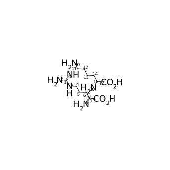 N=C(N)NCCC[C@H](N)C(=O)O.NCCCCC(N)C(=O)O